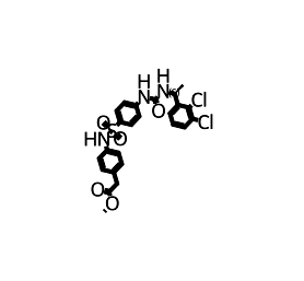 COC(=O)Cc1ccc(NS(=O)(=O)c2ccc(NC(=O)N[C@@H](C)c3cccc(Cl)c3Cl)cc2)cc1